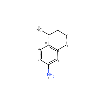 N#CC1CCCc2cc(N)ccc21